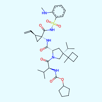 C=C[C@@H]1C[C@]1(NC(=O)[C@@H]1C[C@@](C(C)C)(C2(C)CCC2)CN1C(=O)[C@@H](NC(=O)OC1CCCC1)C(C)C)C(=O)NS(=O)(=O)c1ccccc1NC